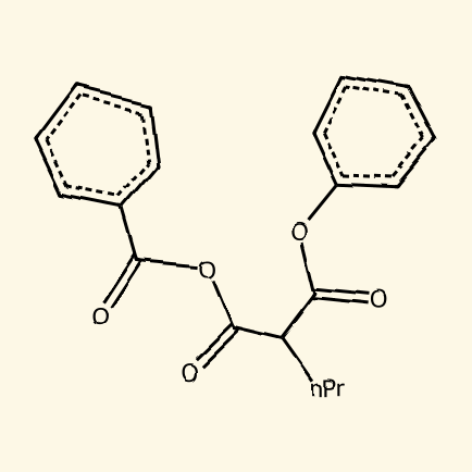 CCCC(C(=O)OC(=O)c1ccccc1)C(=O)Oc1ccccc1